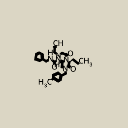 C#CCN1CC(=O)N2[C@@H](CCC)C(=O)N(Cc3ccc(C)cc3)C[C@@H]2N1C(=O)NCc1ccccc1